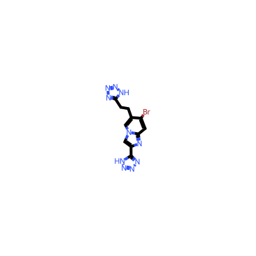 Brc1cc2nc(-c3nnn[nH]3)cn2cc1CCc1nnn[nH]1